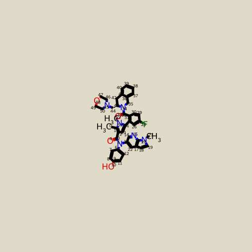 Cc1c(C(=O)N(c2ccc(O)cc2)c2cnc3c(ccn3C)c2)cc(-c2cc(F)ccc2C(=O)N2Cc3ccccc3C[C@H]2CN2CCOCC2)n1C